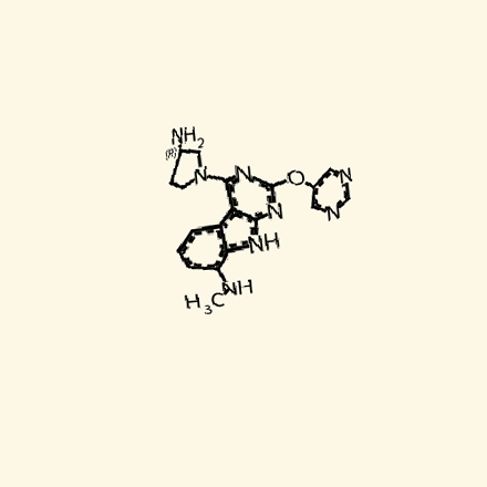 CNc1cccc2c1[nH]c1nc(Oc3cncnc3)nc(N3CC[C@@H](N)C3)c12